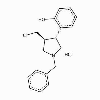 Cl.Oc1ccccc1[C@@H]1CN(Cc2ccccc2)C[C@H]1CCl